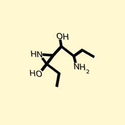 CCC(N)C(O)C1NC1(O)CC